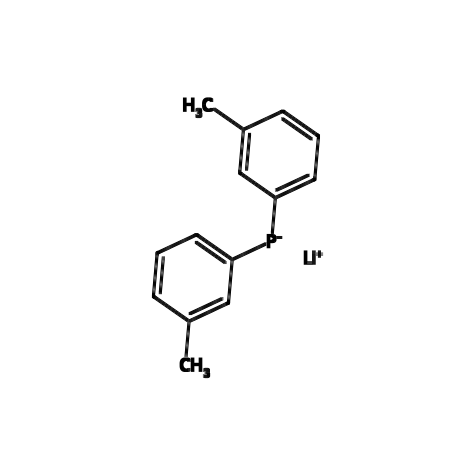 Cc1cccc([P-]c2cccc(C)c2)c1.[Li+]